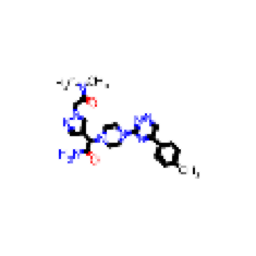 Cc1ccc(-c2cnnc(N3CCN(C(C(N)=O)c4cnn(CC(=O)N(C)C)c4)CC3)n2)cc1